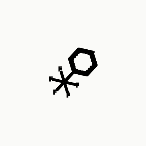 FS(F)(F)(F)(F)c1cc[c]cc1